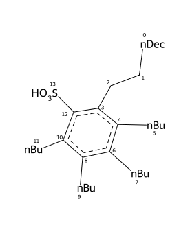 CCCCCCCCCCCCc1c(CCCC)c(CCCC)c(CCCC)c(CCCC)c1S(=O)(=O)O